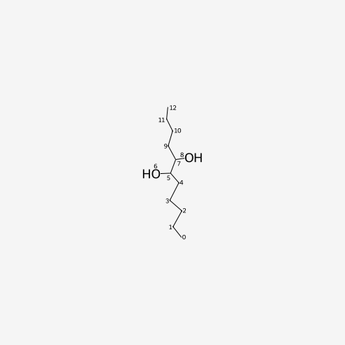 CCCCCC(O)C(O)CCCC